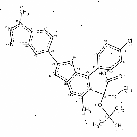 CCC(OC(C)(C)C)(C(=O)O)c1c(C)cc2nc(-c3ccc4c(c3)nnn4C)sc2c1-c1ccc(Cl)cc1